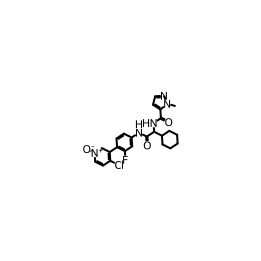 Cn1nccc1C(=O)NC(C(=O)Nc1ccc(-c2c[n+]([O-])ccc2Cl)c(F)c1)C1CCCCC1